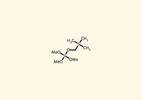 CO[Si](OC)(OC)OC[Si](C)(C)C